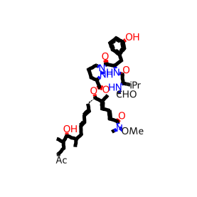 CON(C)C(=O)/C=C/C=C(\C)[C@H](C/C=C/C=C/CC(C)C(O)C(C)CCC(C)=O)OC(=O)C1CCCN(C(=O)C(Cc2cccc(O)c2)NC(=O)C(NC=O)C(C)C)N1